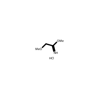 COCC(=N)OC.Cl